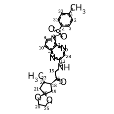 Cc1ccc(S(=O)(=O)n2ccc3nc(NCC(=O)[C@H]4CC5(C[C@@H]4C)OCCO5)cnc32)cc1